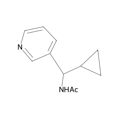 CC(=O)NC(c1cccnc1)C1CC1